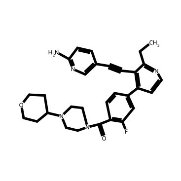 CCc1nccc(-c2ccc(C(=O)N3CCN(C4CCOCC4)CC3)c(F)c2)c1C#Cc1ccc(N)nc1